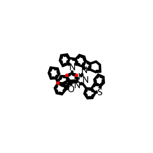 C1=Cc2c(c3ccc4c5ccccc5n(-c5ccc6oc7cccc(-c8ccccc8)c7c6c5)c4c3n2-c2nc(-c3ccccc3)nc(-c3cccc4sc5ccccc5c34)n2)CC1